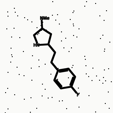 CNC1CNC(CCc2ccc(F)cc2)C1